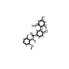 COc1cccc(C)c1N(C)C(=O)c1ccc(Cl)c(-c2c(C)cc(C)nc2S)c1